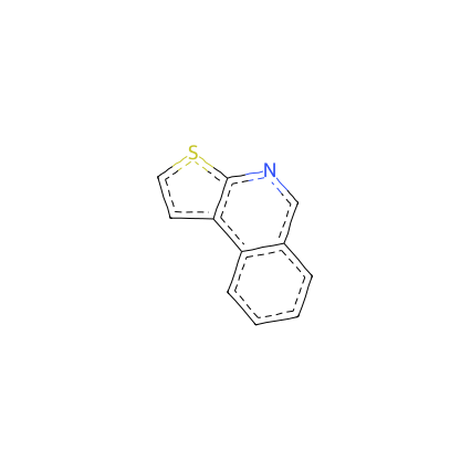 c1ccc2c(c1)cnc1sccc12